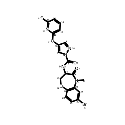 CN1C(=O)C(NC(=O)n2cc(Oc3cccc(F)n3)cn2)COc2ccc(Br)cc21